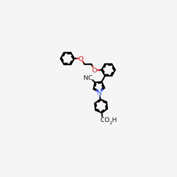 N#Cc1cn(-c2ccc(C(=O)O)cc2)cc1-c1ccccc1OCCOc1ccccc1